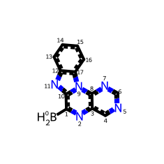 Bc1nc2cncnc2n2c1nc1ccccc12